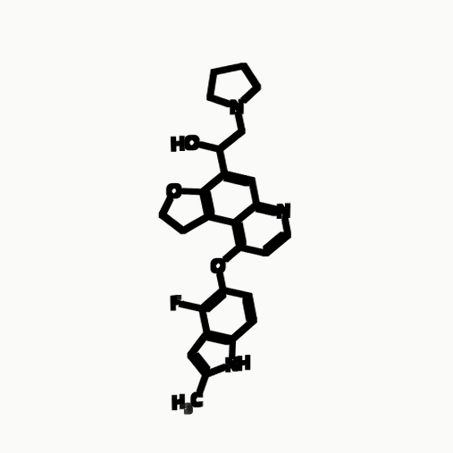 Cc1cc2c(F)c(Oc3ccnc4cc(C(O)CN5CCCC5)c5c(c34)CCO5)ccc2[nH]1